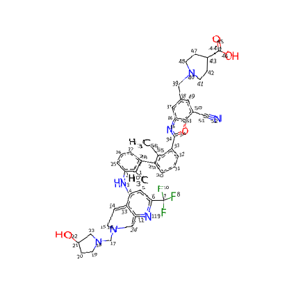 Cc1c(Nc2cc(C(F)(F)F)nc3c2=CCN(CN2CCC(O)C2)C=3)cccc1-c1cccc(-c2nc3cc(CN4CCC(C(=O)O)CC4)cc(C#N)c3o2)c1C